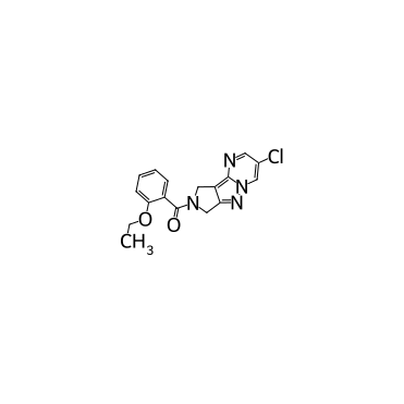 CCOc1ccccc1C(=O)N1Cc2nn3cc(Cl)cnc3c2C1